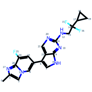 Cc1cn2cc(-c3c[nH]c4nc(NCC(F)(F)C5CC5)ncc34)cc(F)c2n1